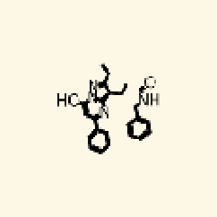 CCc1nn2c(O)cc(-c3ccccc3)nc2c1CC.O=CNCc1ccccc1